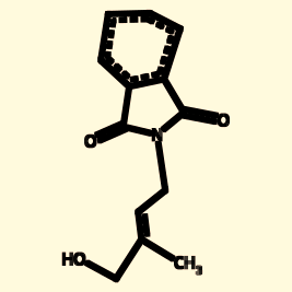 C/C(=C\CN1C(=O)c2ccccc2C1=O)CO